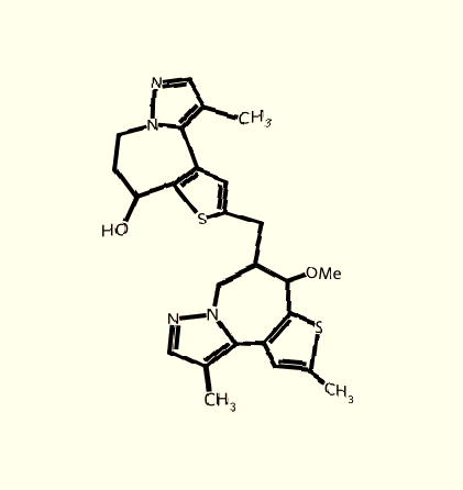 COC1c2sc(C)cc2-c2c(C)cnn2CC1Cc1cc2c(s1)C(O)CCn1ncc(C)c1-2